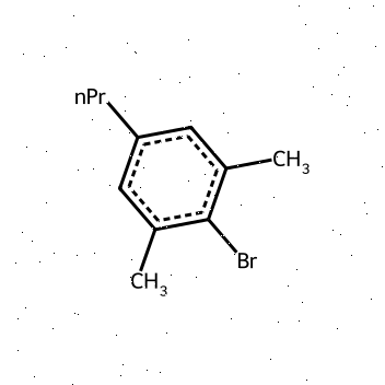 CCCc1cc(C)c(Br)c(C)c1